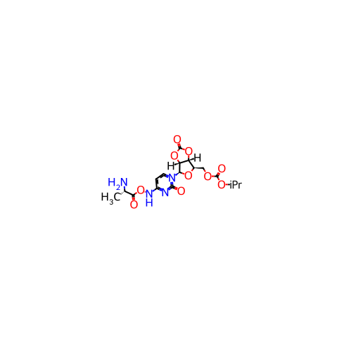 CC(C)OC(=O)OC[C@H]1O[C@@H](n2ccc(NOC(=O)[C@H](C)N)nc2=O)[C@@H]2OC(=O)O[C@@H]21